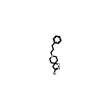 BrC1=NOC2(CCN(CCCc3ccccc3)CC2)C1